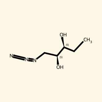 CC[C@H](O)[C@@H](O)CN=[N+]=[N-]